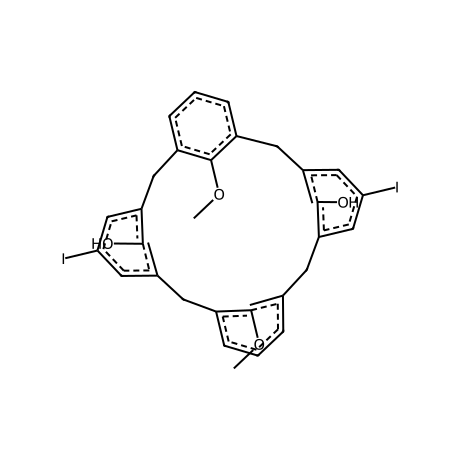 COc1c2cccc1Cc1cc(I)cc(c1O)Cc1cccc(c1OC)Cc1cc(I)cc(c1O)C2